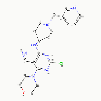 N=Cc1c(NC2CCN(Cc3cccnc3)CC2)nc(Cl)nc1N1CCOCC1